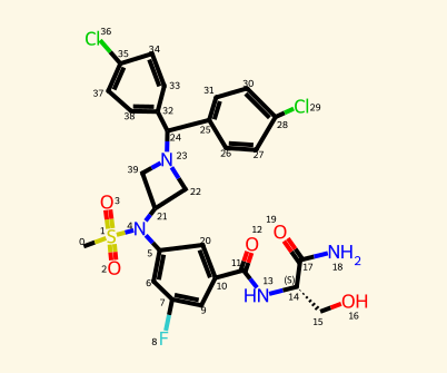 CS(=O)(=O)N(c1cc(F)cc(C(=O)N[C@@H](CO)C(N)=O)c1)C1CN(C(c2ccc(Cl)cc2)c2ccc(Cl)cc2)C1